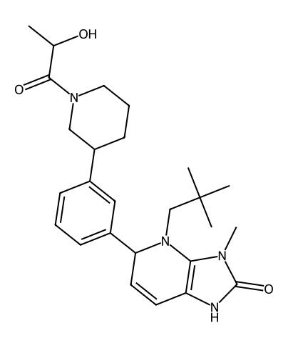 CC(O)C(=O)N1CCCC(c2cccc(C3C=Cc4[nH]c(=O)n(C)c4N3CC(C)(C)C)c2)C1